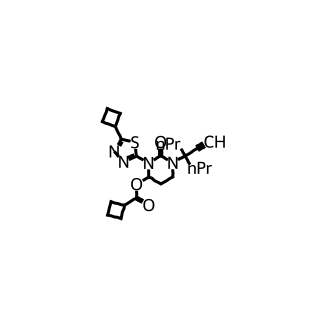 C#CC(CCC)(CCC)N1CCC(OC(=O)C2CCC2)N(c2nnc(C3CCC3)s2)C1=O